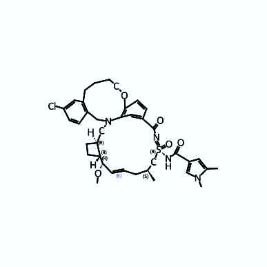 CO[C@H]1/C=C/C[C@H](C)C[S@@](=O)(NC(=O)c2cc(C)n(C)c2)=NC(=O)c2ccc3c(c2)N(Cc2ccc(Cl)cc2CCCCO3)C[C@@H]2CC[C@H]21